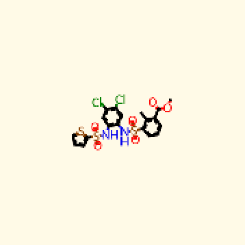 COC(=O)c1cccc(S(=O)(=O)Nc2cc(Cl)c(Cl)cc2NS(=O)(=O)c2cccs2)c1C